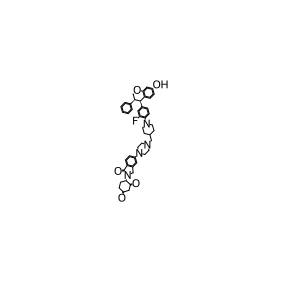 O=C1CC[C@H](N2Cc3cc(N4CCN(CC5CCN(c6ccc([C@@H]7c8ccc(O)cc8OC[C@@H]7c7ccccc7)cc6F)CC5)CC4)ccc3C2=O)C(=O)C1